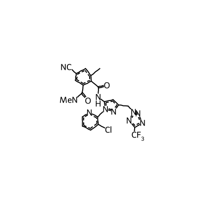 CNC(=O)c1cc(C#N)cc(C)c1C(=O)Nc1cc(Cn2nnc(C(F)(F)F)n2)nn1-c1ncccc1Cl